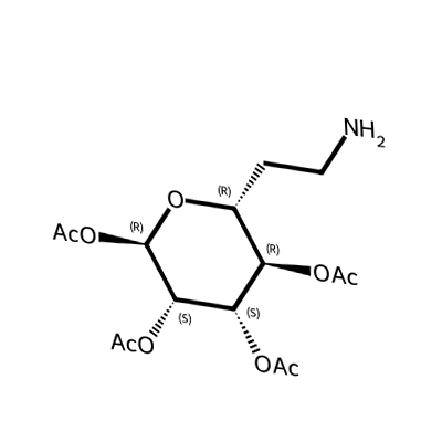 CC(=O)O[C@H]1O[C@H](CCN)[C@@H](OC(C)=O)[C@H](OC(C)=O)[C@@H]1OC(C)=O